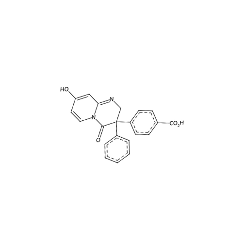 O=C(O)c1ccc(C2(c3ccccc3)CN=C3C=C(O)C=CN3C2=O)cc1